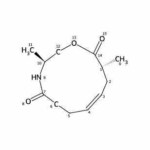 C[C@@H]1CC=CCCC(=O)N[C@@H](C)COC1=O